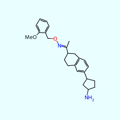 COc1ccccc1CO/N=C(\C)C1CCc2cc(C3CCC(N)C3)ccc2C1